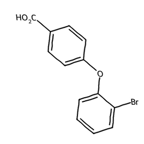 O=C(O)c1ccc(Oc2ccccc2Br)cc1